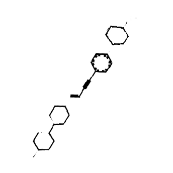 CCCCC[C@H]1CC[C@H](c2ccc(C#CC=C[C@H]3CC[C@H]([C@H]4CC[C@H](C)CC4)CC3)cc2)CC1